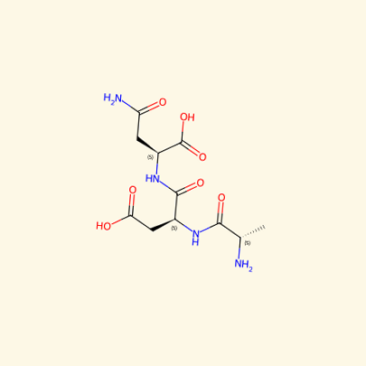 C[C@H](N)C(=O)N[C@@H](CC(=O)O)C(=O)N[C@@H](CC(N)=O)C(=O)O